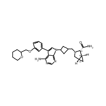 NC(=O)[C@@H]1[C@@H]2C[C@@H]2CN1CC1CC(n2cc(-c3cccc(OCC4CCCCO4)c3)c3c(N)ncnc32)C1